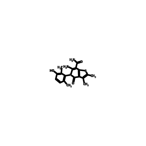 Cc1ccc(O)c(C)c1-n1c(N)c(C(N)=O)c2sc(C)c(C)c2c1=O